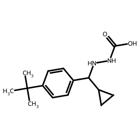 CC(C)(C)c1ccc(C(NNC(=O)O)C2CC2)cc1